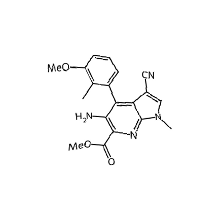 COC(=O)c1nc2c(c(C#N)cn2C)c(-c2cccc(OC)c2C)c1N